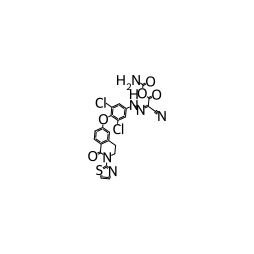 N#CC(=NNc1cc(Cl)c(Oc2ccc3c(c2)CCN(c2nccs2)C3=O)c(Cl)c1)C(=O)OC(N)=O